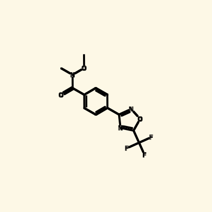 CON(C)C(=O)c1ccc(-c2noc(C(F)(F)F)n2)cc1